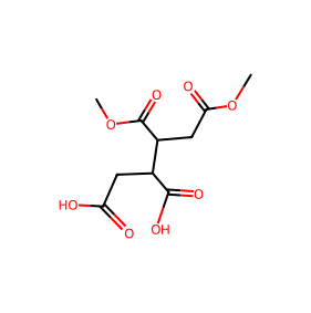 COC(=O)CC(C(=O)OC)C(CC(=O)O)C(=O)O